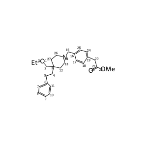 CCOCC1(CCc2ccccc2)CCN(Cc2ccc(CC(=O)OC)cc2)CC1